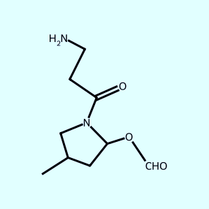 CC1CC(OC=O)N(C(=O)CCN)C1